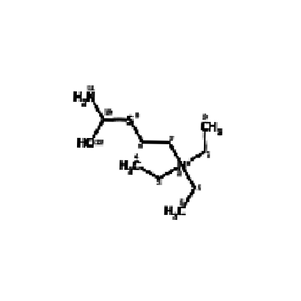 CC[N+](CC)(CC)CCSC(N)O